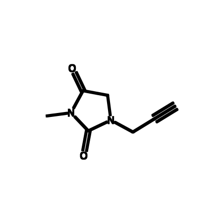 C#CCN1CC(=O)N(C)C1=O